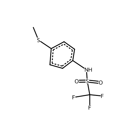 CSc1ccc(NS(=O)(=O)C(F)(F)F)cc1